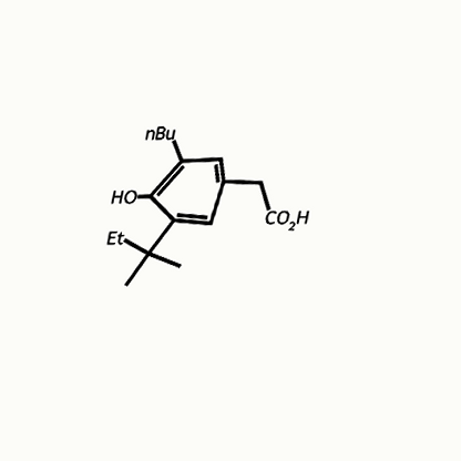 CCCCc1cc(CC(=O)O)cc(C(C)(C)CC)c1O